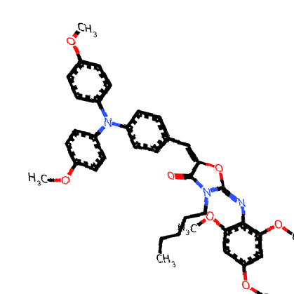 CCCCCN1C(=O)/C(=C\c2ccc(N(c3ccc(OC)cc3)c3ccc(OC)cc3)cc2)O/C1=N/c1c(OC)cc(OC)cc1OC